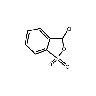 O=S1(=O)OC(Cl)c2ccccc21